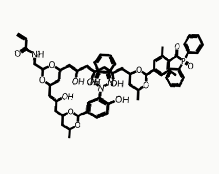 C=CC(=O)NCC1OC(CC(O)CC(O)CC(O)CC2CC(C)OC(c3cc(C)c(C(=O)P(=O)(c4ccccc4)c4ccccc4)c(C)c3)O2)CC(CC(O)CC2CC(C)OC(c3ccc(O)c(-n4nc5ccccc5n4)c3)O2)O1